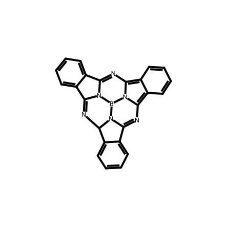 c1ccc2c(c1)C1=Nc3c4ccccc4c4n3B3N1C2N=c1c2ccccc2c(n13)=N4